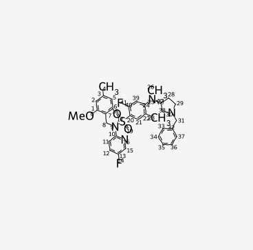 COc1cc(C)ccc1CN(c1ccc(F)cn1)S(=O)(=O)c1cc(C)c(N(C)[C@H]2CCN(Cc3ccccc3)C2)cc1F